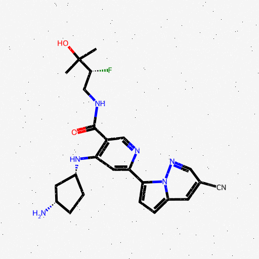 CC(C)(O)[C@H](F)CNC(=O)c1cnc(-c2ccc3cc(C#N)cnn23)cc1N[C@@H]1CC[C@H](N)C1